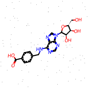 O=C(O)c1ccc(CNc2ncnc3c2ncn3C2O[C@H](CO)[C@@H](O)[C@H]2O)cc1